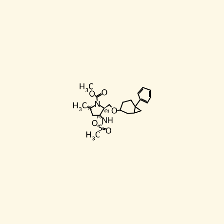 COC(=O)N1[C@H](C)C[C@H](NS(C)(=O)=O)[C@@H]1COC1CCC2(c3ccccc3)CC2C1